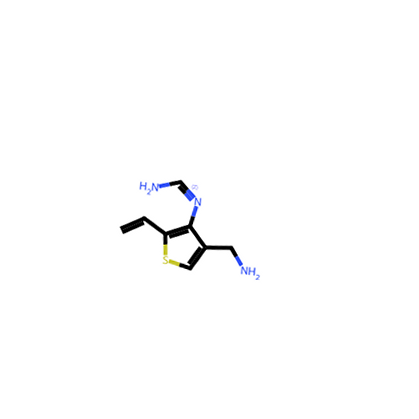 C=Cc1scc(CN)c1/N=C\N